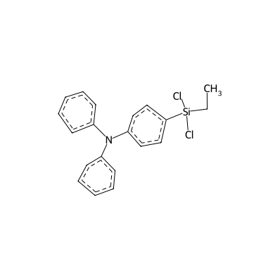 CC[Si](Cl)(Cl)c1ccc(N(c2ccccc2)c2ccccc2)cc1